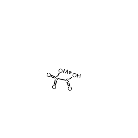 COS(=O)(=O)S(=O)O